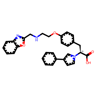 O=C(O)[C@H](Cc1ccc(OCCNCc2nc3ccccc3o2)cc1)n1ccc(-c2ccccc2)c1